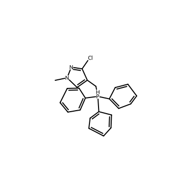 Cn1cc(C[PH](c2ccccc2)(c2ccccc2)c2ccccc2)c(Cl)n1